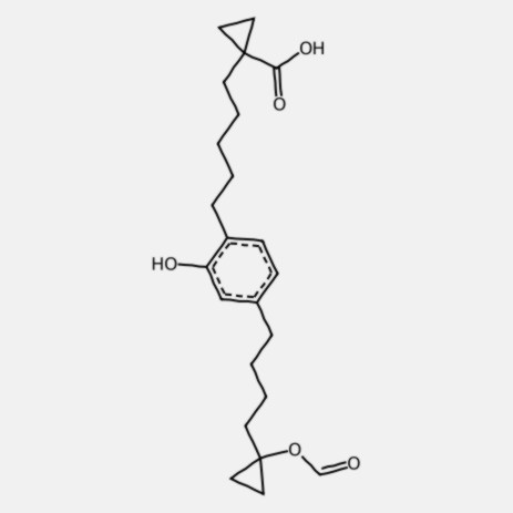 O=COC1(CCCCc2ccc(CCCCCC3(C(=O)O)CC3)c(O)c2)CC1